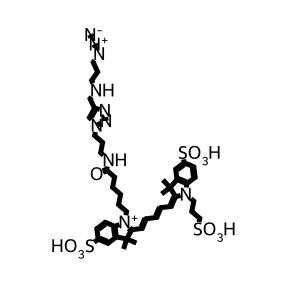 CC1(C)C(/C=C/C=C/C=C2/N(CCCS(=O)(=O)O)c3ccc(S(=O)(=O)O)cc3C2(C)C)=[N+](CCCCCC(=O)NCCCn2cc(CNCCCN=[N+]=[N-])nn2)c2ccc(S(=O)(=O)O)cc21